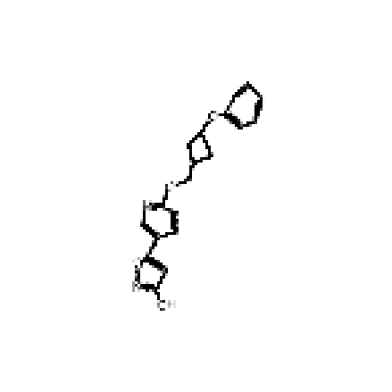 Oc1cc(-c2ccc(OCC3CC(Oc4ccccc4)C3)nc2)on1